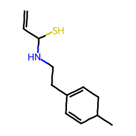 C=CC(S)NCCC1=CCC(C)C=C1